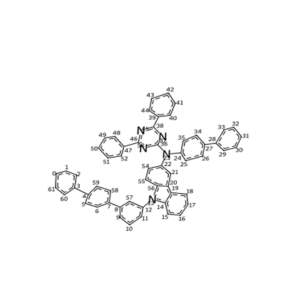 c1ccc(-c2ccc(-c3cccc(-n4c5ccccc5c5cc(N(c6ccc(-c7ccccc7)cc6)c6nc(-c7ccccc7)nc(-c7ccccc7)n6)ccc54)c3)cc2)cc1